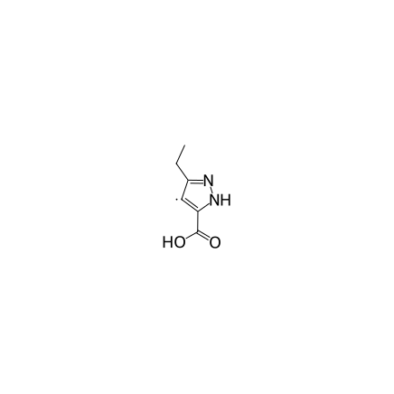 CCc1[c]c(C(=O)O)[nH]n1